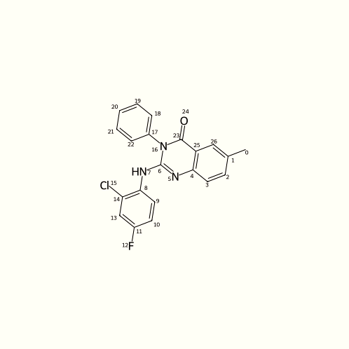 Cc1ccc2nc(Nc3ccc(F)cc3Cl)n(-c3ccccc3)c(=O)c2c1